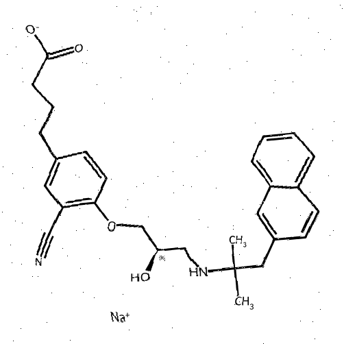 CC(C)(Cc1ccc2ccccc2c1)NC[C@@H](O)COc1ccc(CCCC(=O)[O-])cc1C#N.[Na+]